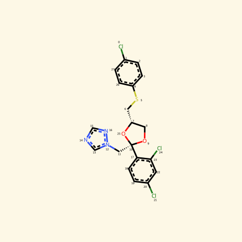 Clc1ccc(SC[C@@H]2CO[C@@](Cn3cncn3)(c3ccc(Cl)cc3Cl)O2)cc1